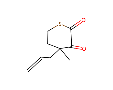 C=CCC1(C)CCSC(=O)C1=O